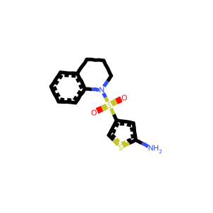 Nc1cc(S(=O)(=O)N2CCCc3ccccc32)cs1